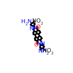 Nc1cc2c(cc1[N+](=O)[O-])nc1c3ccc4c5ccc6c(=O)n7c8cc([N+](=O)[O-])c(N)cc8nc7c7ccc(c8ccc(c(=O)n21)c3c48)c5c67